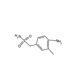 Cc1cc(CS(N)(=O)=O)ccc1N